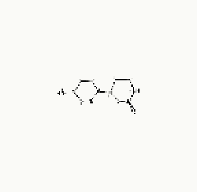 O=C1CN(C2CCC(O)CC2)CCN1